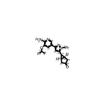 CC(C)n1nc(-c2cnc(N)c(OC(F)F)c2)cc1C1[C@H]2CC(=O)C[C@@H]12